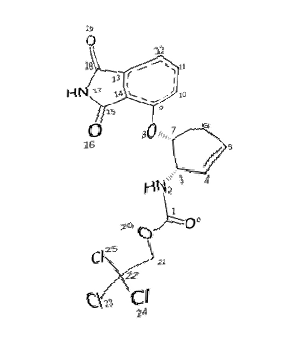 O=C(N[C@H]1C=CC[C@H]1Oc1cccc2c1C(=O)NC2=O)OCC(Cl)(Cl)Cl